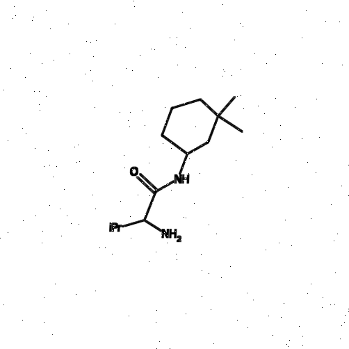 CC(C)C(N)C(=O)NC1CCCC(C)(C)C1